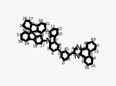 c1cc(-c2ccc3c(c2)c2ccccc2n3-c2ccc3c(c2)C2(c4ccccc4-c4ccccc42)c2ccccc2-3)cc(-c2cnc3c4ccccc4c4ccccc4c3n2)c1